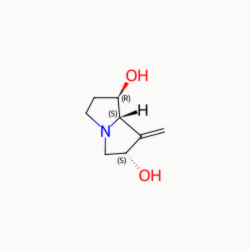 C=C1[C@H](O)CN2CC[C@@H](O)[C@H]12